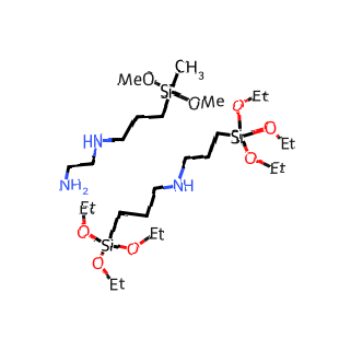 CCO[Si](CCCNCCC[Si](OCC)(OCC)OCC)(OCC)OCC.CO[Si](C)(CCCNCCN)OC